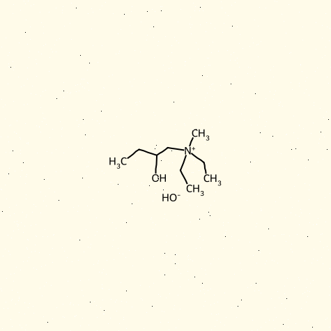 CCC(O)C[N+](C)(CC)CC.[OH-]